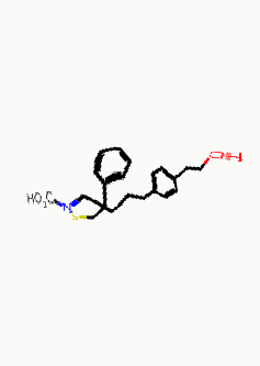 O=C(O)N1CC(CCCc2ccc(CCO)cc2)(c2ccccc2)CS1